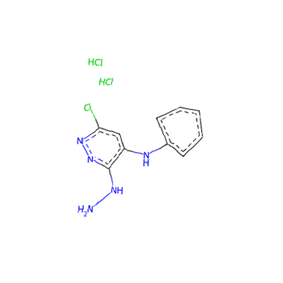 Cl.Cl.NNc1nnc(Cl)cc1Nc1ccccc1